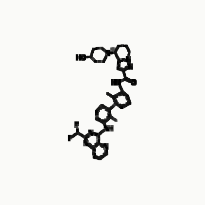 Cc1c(NC(=O)c2cc3n(n2)CCC[C@@H]3N2CCC(O)CC2)cccc1-c1cccc(Nc2nc(C(F)F)nc3cccnc23)c1C